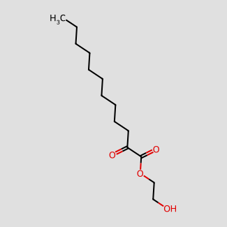 CCCCCCCCCCC(=O)C(=O)OCCO